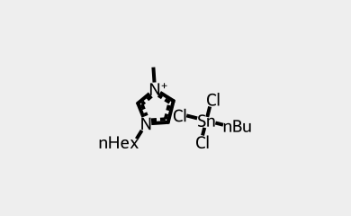 CCCCCCn1cc[n+](C)c1.CCC[CH2][Sn]([Cl])([Cl])[Cl]